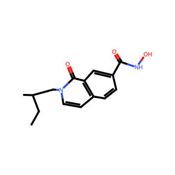 CCC(C)Cn1ccc2ccc(C(=O)NO)cc2c1=O